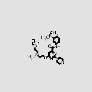 CCOCCN(C)CCOc1cc(C(=O)Nc2cccc(N(C)C)c2)nc(N2CCOCC2)n1